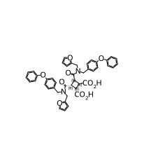 O=C(O)[C@H]1[C@H](C(=O)O)[C@H](C(=O)N(Cc2ccc(Oc3ccccc3)cc2)Cc2ccco2)[C@H]1C(=O)N(Cc1ccc(Oc2ccccc2)cc1)Cc1ccco1